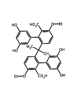 CCOc1ccc(C(C)(C)c2ccc(OCC)c(C(=O)O)c2-c2cc(O)cc(O)c2)c(-c2cc(O)cc(O)c2)c1C(=O)O